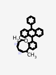 C=C1/C=C\C=C/C(C)c2cccc(-c3c4ccccc4c(-c4ccccc4)c4ccccc34)c2O1